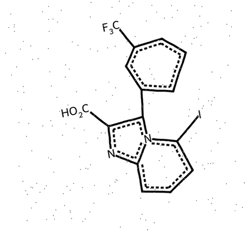 O=C(O)c1nc2cccc(I)n2c1-c1cccc(C(F)(F)F)c1